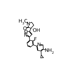 CN1CC[C@@](O)(c2cc(-c3cccc(-c4cc(C5CC5)c(N)cn4)c3F)no2)C1=O